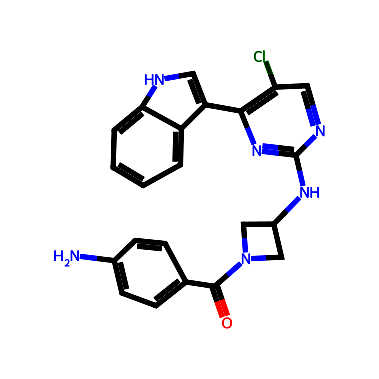 Nc1ccc(C(=O)N2CC(Nc3ncc(Cl)c(-c4c[nH]c5ccccc45)n3)C2)cc1